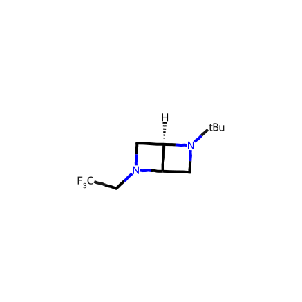 CC(C)(C)N1CC2[C@H]1CN2CC(F)(F)F